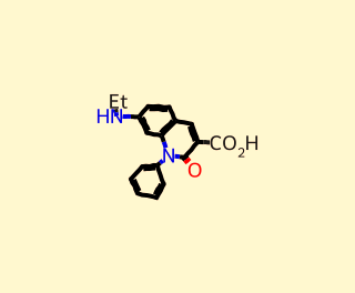 CCNc1ccc2cc(C(=O)O)c(=O)n(-c3ccccc3)c2c1